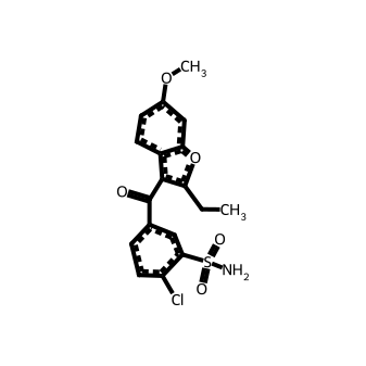 CCc1oc2cc(OC)ccc2c1C(=O)c1ccc(Cl)c(S(N)(=O)=O)c1